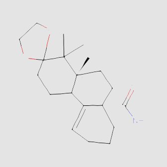 CC1(C)[C@@H]2CC[C@@]3(C(N)=O)CCCC=C3[C@@]2(C)CCC12OCCO2